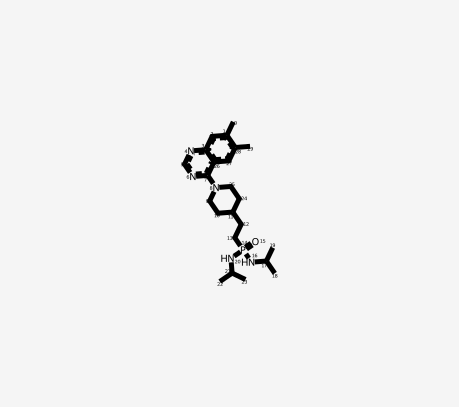 Cc1cc2ncnc(N3CCC(CCP(=O)(NC(C)C)NC(C)C)CC3)c2cc1C